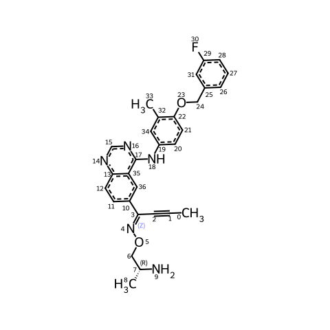 CC#C/C(=N\OC[C@@H](C)N)c1ccc2ncnc(Nc3ccc(OCc4cccc(F)c4)c(C)c3)c2c1